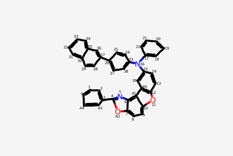 c1ccc(-c2nc3c(ccc4oc5ccc(N(c6ccccc6)c6ccc(-c7ccc8ccccc8c7)cc6)cc5c43)o2)cc1